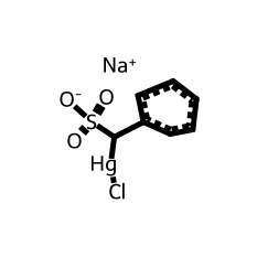 O=S(=O)([O-])[CH]([Hg][Cl])c1ccccc1.[Na+]